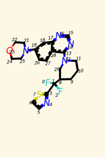 FC(F)(c1nccs1)C1CCCN(c2ncnc3cc(N4CCOCC4)ccc23)C1